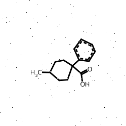 CC1CCC(C(=O)O)(c2ccccc2)CC1